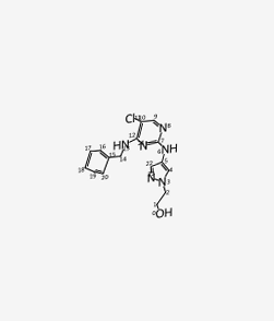 OCCn1cc(Nc2ncc(Cl)c(NCc3ccccc3)n2)cn1